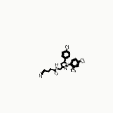 N#CCCCC(=O)NCC1=NN(c2ccc(Cl)cc2Cl)C(c2ccc(Cl)cc2)C1